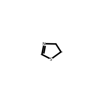 [C]1CN=[C]S1